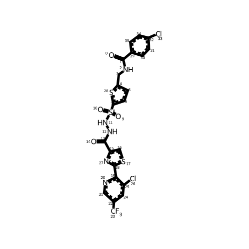 O=C(NCc1ccc(S(=O)(=O)NNC(=O)c2csc(-c3ncc(C(F)(F)F)cc3Cl)n2)s1)c1ccc(Cl)cc1